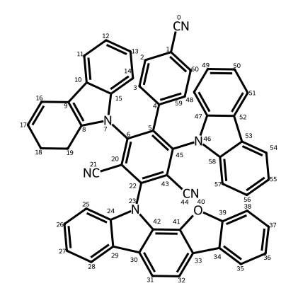 N#Cc1ccc(-c2c(-n3c4c(c5ccccc53)C=CCC4)c(C#N)c(-n3c4ccccc4c4ccc5c6ccccc6oc5c43)c(C#N)c2-n2c3ccccc3c3ccccc32)cc1